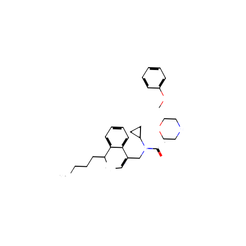 C/C=C(/CN(C(=O)[C@H]1CNC[C@@H](COc2ccccc2)O1)C1CC1)c1ccccc1C(C)CCCOC